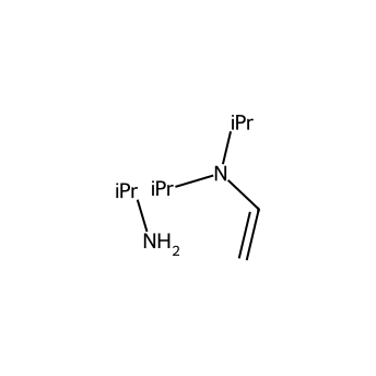 C=CN(C(C)C)C(C)C.CC(C)N